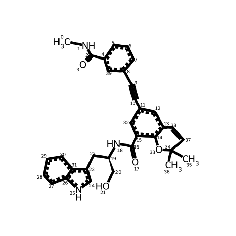 CNC(=O)c1cccc(C#Cc2cc3c(c(C(=O)N[C@@H](CO)Cc4c[nH]c5ccccc45)c2)OC(C)(C)C=C3)c1